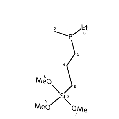 CCP(C)CCC[Si](OC)(OC)OC